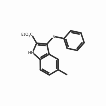 CCOC(=O)c1[nH]c2ccc(C)cc2c1Sc1ccccc1